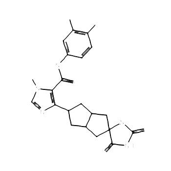 Cn1cnc(C2CC3CC4(CC3C2)NC(=O)NC4=O)c1C(=O)Nc1ccc(F)c(Cl)c1